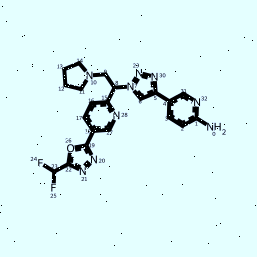 Nc1ccc(-c2cn(C(CN3CCCC3)c3ccc(-c4nnc(C(F)F)o4)cn3)nn2)cn1